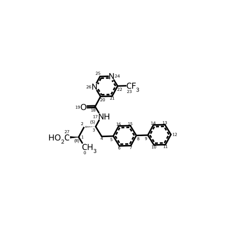 C[C@H](C[C@@H](Cc1ccc(-c2ccccc2)cc1)NC(=O)c1cc(C(F)(F)F)ncn1)C(=O)O